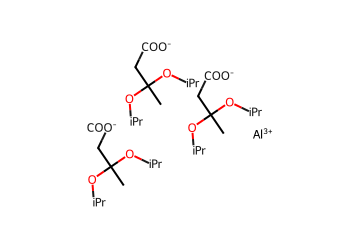 CC(C)OC(C)(CC(=O)[O-])OC(C)C.CC(C)OC(C)(CC(=O)[O-])OC(C)C.CC(C)OC(C)(CC(=O)[O-])OC(C)C.[Al+3]